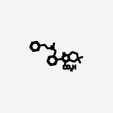 CN(CCc1ccccc1)Cc1ccccc1-c1sc2c(c1C(=O)O)CC(C)(C)CC2